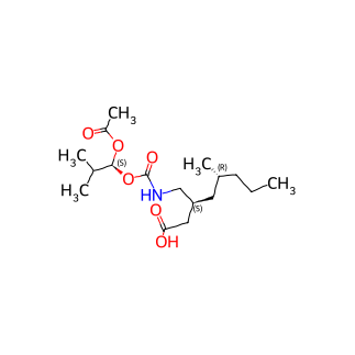 CCC[C@@H](C)C[C@H](CNC(=O)O[C@H](OC(C)=O)C(C)C)CC(=O)O